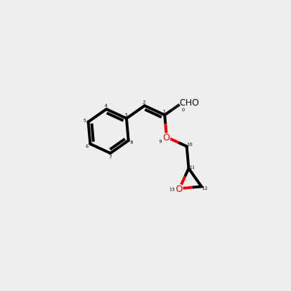 O=CC(=Cc1ccccc1)OCC1CO1